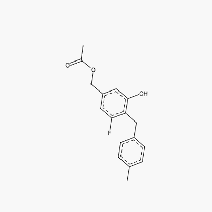 CC(=O)OCc1cc(O)c(Cc2ccc(C)cc2)c(F)c1